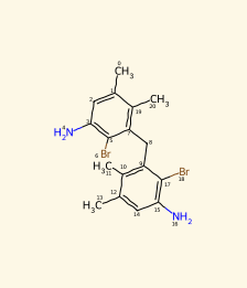 Cc1cc(N)c(Br)c(Cc2c(C)c(C)cc(N)c2Br)c1C